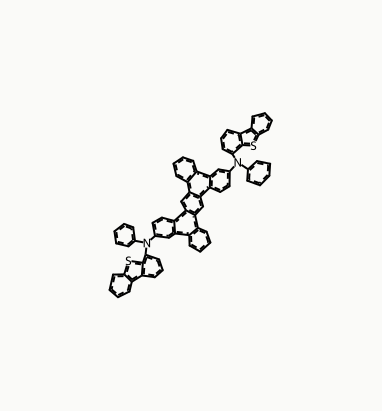 c1ccc(N(c2ccc3c(c2)c2ccccc2c2cc4c5ccc(N(c6ccccc6)c6cccc7c6sc6ccccc67)cc5c5ccccc5c4cc32)c2cccc3c2sc2ccccc23)cc1